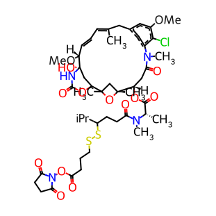 COc1cc2cc(c1Cl)N(C)C(=O)C[C@H](OC(=O)[C@H](C)N(C)C(=O)CCC(SSCCCC(=O)ON1C(=O)CCC1=O)C(C)C)[C@@]1(C)CC(C)(O1)C1C[C@@](O)(NC(=O)O1)[C@H](OC)/C=C/C=C(\C)C2